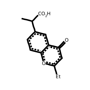 CCc1cc(=O)c2cc(C(C)C(=O)O)ccc2o1